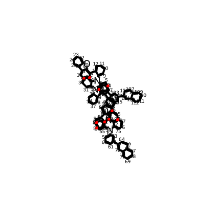 c1cc(-c2ccc(N(c3ccccc3-c3cccc4c3oc3ccccc34)c3ccccc3-n3c4ccccc4c4c(-c5ccc6c(c5)oc5c(-c7ccccc7N(c7cccc(-c8ccc9ccccc9c8)c7)c7ccccc7-n7c8ccccc8c8ccccc87)cccc56)cccc43)cc2)cc(-c2ccc3ccccc3c2)c1